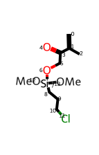 C=C(C)C(=O)CO[Si](CCCCl)(OC)OC